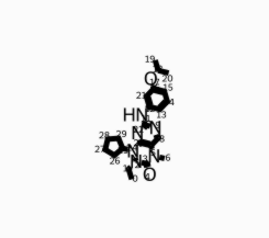 CCN1C(=O)N(C)c2cnc(Nc3cccc(OC(C)C)c3)nc2N1C1CCCC1